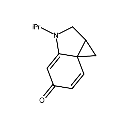 CC(C)N1CC2CC23C=CC(=O)C=C13